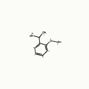 CCCCOc1ccccc1C(O)CCC